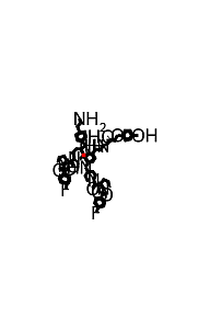 NCCc1ccc(NC2CCN(C(=O)[C@@H]3CCCN3S(=O)(=O)c3ccc(F)cc3)CC2)cc1.O=C([C@@H]1CCCN1S(=O)(=O)c1ccc(F)cc1)N1CCC(Nc2ccc(CCNC[C@H](O)COc3ccc(O)cc3)cc2)CC1